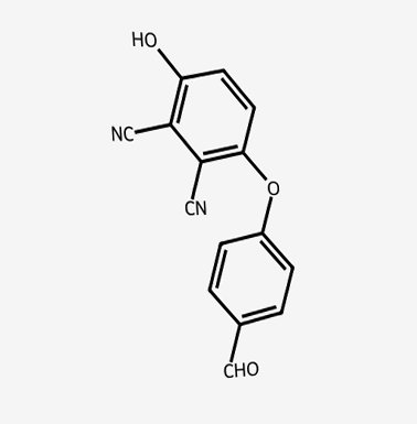 N#Cc1c(O)ccc(Oc2ccc(C=O)cc2)c1C#N